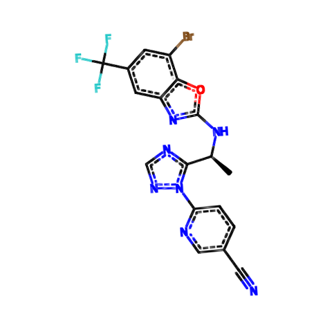 C[C@H](Nc1nc2cc(C(F)(F)F)cc(Br)c2o1)c1ncnn1-c1ccc(C#N)cn1